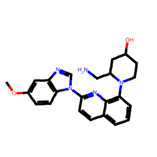 COc1ccc2c(c1)ncn2-c1ccc2cccc(N3CCC(O)CC3CN)c2n1